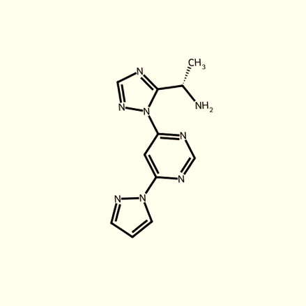 C[C@H](N)c1ncnn1-c1cc(-n2cccn2)ncn1